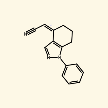 N#C/C=C1/CCCc2c1cnn2-c1ccccc1